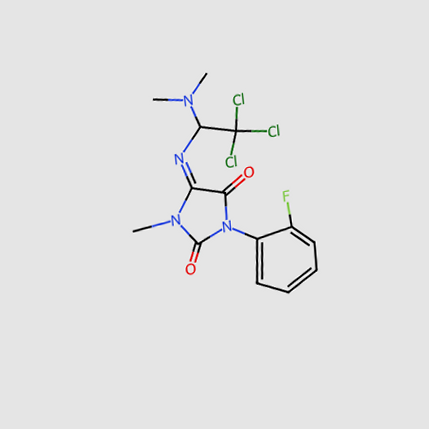 CN1C(=O)N(c2ccccc2F)C(=O)/C1=N\C(N(C)C)C(Cl)(Cl)Cl